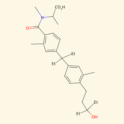 CCC(O)(CC)CCc1ccc(C(CC)(CC)c2ccc(C(=O)N(C)C(C)C(=O)O)c(C)c2)cc1C